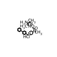 Cc1nc(OCC(=O)N(C)C2CCN(Cc3ccc(-c4ccccc4)cc3)CC2)nc(C)c1N.Cl